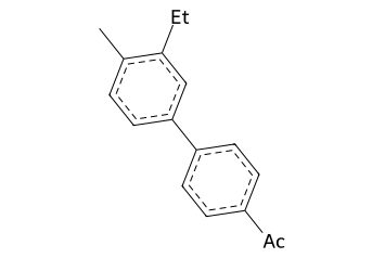 CCc1cc(-c2ccc(C(C)=O)cc2)ccc1C